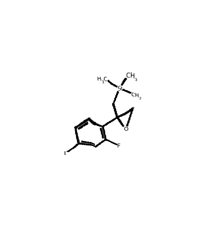 C[Si](C)(C)CC1(c2ccc(F)cc2F)CO1